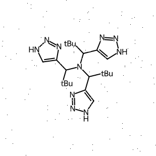 CC(C)(C)C(c1c[nH]nn1)N(C(c1c[nH]nn1)C(C)(C)C)C(c1c[nH]nn1)C(C)(C)C